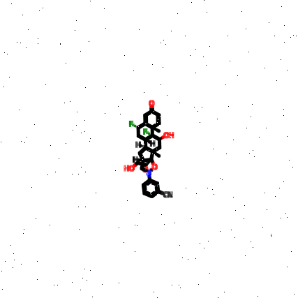 C[C@]12C=CC(=O)C=C1[C@@H](F)C[C@H]1[C@@H]3C[C@H]4CN(c5cccc(C#N)c5)O[C@@]4(C(=O)CO)[C@@]3(C)C[C@H](O)[C@@]12F